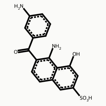 Nc1cccc(C(=O)c2ccc3cc(S(=O)(=O)O)cc(O)c3c2N)c1